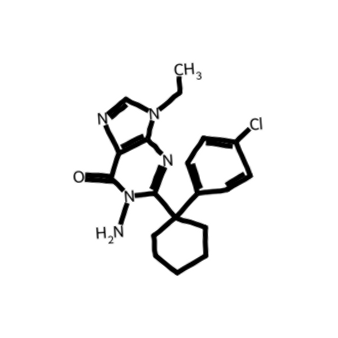 CCn1cnc2c(=O)n(N)c(C3(c4ccc(Cl)cc4)CCCCC3)nc21